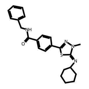 Cn1nc(-c2ccc(C(=O)NCc3ccccc3)cc2)sc1=NC1CCCCC1